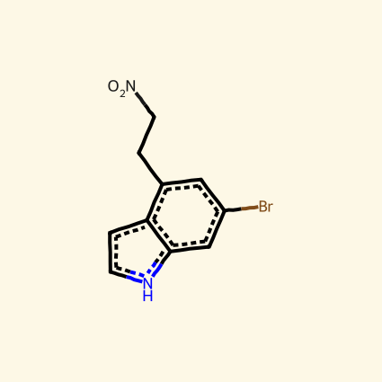 O=[N+]([O-])CCc1cc(Br)cc2[nH]ccc12